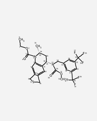 CCOC(=O)N1c2cc3c(cc2[C@@H](N(Cc2cc(C(F)(F)F)cc(C(F)(F)F)c2)C(=O)OC)C[C@H]1C)CSC3